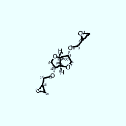 C1OC1CO[C@@H]1CO[C@H]2[C@@H]1OC[C@H]2OCC1CO1